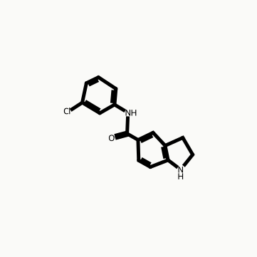 O=C(Nc1cccc(Cl)c1)c1ccc2c(c1)CCN2